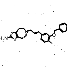 Cc1ccc(C=CCN2CCc3nc(N)sc3CC2)cc1OCc1ccccc1